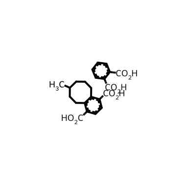 CC1CCCc2c(C(=O)O)ccc(C(=O)O)c2CC1.O=C(O)c1ccccc1C(=O)O